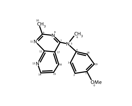 COc1ccc(N(C)c2nc(C)nc3ncccc23)cc1